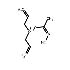 C=CCOCC=C.CC(C)=NO